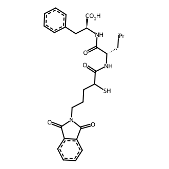 CC(C)C[C@H](NC(=O)C(S)CCCN1C(=O)c2ccccc2C1=O)C(=O)N[C@@H](Cc1ccccc1)C(=O)O